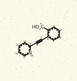 O=C(O)c1ccccc1C#Cc1ccccn1